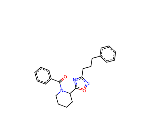 O=C(c1ccccc1)N1CCCCC1c1nc(CCCc2ccccc2)no1